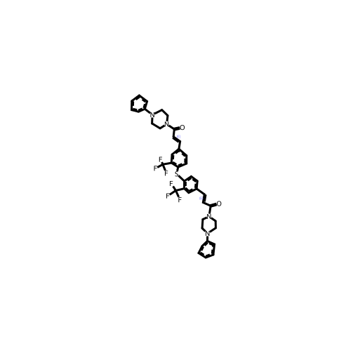 O=C(/C=C/c1ccc(Sc2ccc(/C=C/C(=O)N3CCN(c4ccccc4)CC3)cc2C(F)(F)F)c(C(F)(F)F)c1)N1CCN(c2ccccc2)CC1